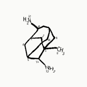 CC12CC3CC(CC(C1)C3N)C2N